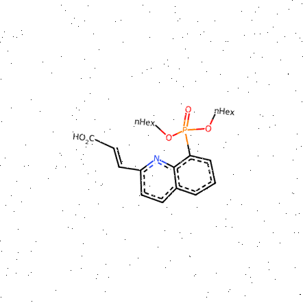 CCCCCCOP(=O)(OCCCCCC)c1cccc2ccc(C=CC(=O)O)nc12